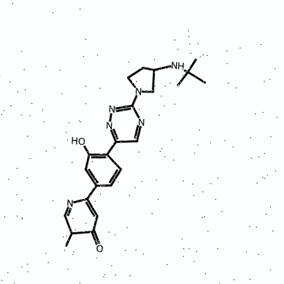 CC1C=NC(c2ccc(-c3cnc(N4CCC(NC(C)(C)C)C4)nn3)c(O)c2)=CC1=O